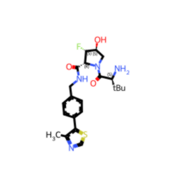 Cc1ncsc1-c1ccc(CNC(=O)[C@@H]2[C@H](F)[C@@H](O)CN2C(=O)[C@@H](N)C(C)(C)C)cc1